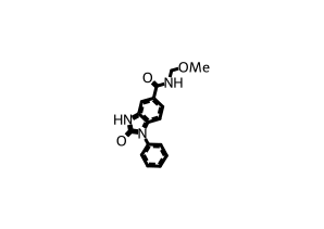 COCNC(=O)c1ccc2c(c1)[nH]c(=O)n2-c1ccccc1